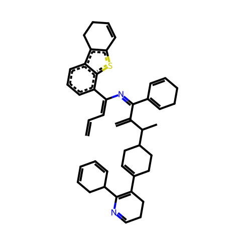 C=C/C=C(/N=C(\C(=C)C(C)C1CC=C(C2=C(C3C=CC=CC3)N=CCC2)CC1)C1=CCCC=C1)c1cccc2c3c(sc12)C=CCC3